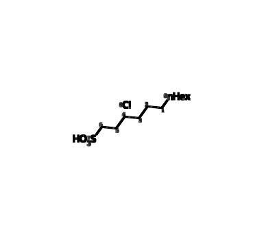 CCCCCCCCCCCCS(=O)(=O)O.[C]